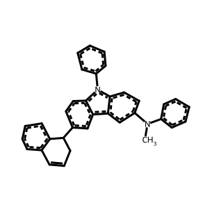 CN(c1ccccc1)c1ccc2c(c1)c1cc(C3CC=Cc4ccccc43)ccc1n2-c1ccccc1